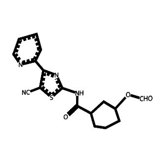 N#Cc1sc(NC(=O)C2CCCC(OC=O)C2)nc1-c1ccccn1